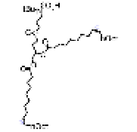 CCCCCCCC/C=C\CCCCCCCC(=O)OCC(CC[S+]([O-])CCCN(C(=O)O)C(C)(C)C)OC(=O)CCCCCCC/C=C\CCCCCCCC